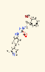 Cc1cc(-c2ccc(NC(=O)NCCc3ccccc3Br)cc2)ccn1